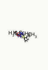 CCCc1ccccc1SC/C(=N/OCC)N(C)C